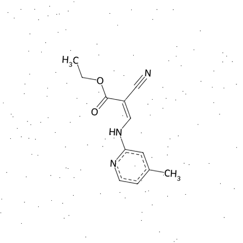 CCOC(=O)C(C#N)=CNc1cc(C)ccn1